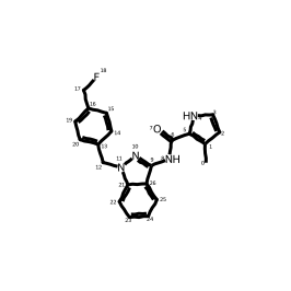 Cc1cc[nH]c1C(=O)Nc1nn(Cc2ccc(CF)cc2)c2ccccc12